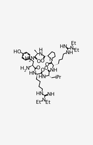 CCN(CC)C(=N)NCCCC[C@H](NC(=O)[C@H](CC(C)C)NC(=O)[C@@H](CCCCNC(=N)N(CC)CC)NC(=O)[C@@H](N)Cc1ccc(O)cc1)C(=O)N1CCC[C@H]1C(=O)N[C@H](C)C(N)=O